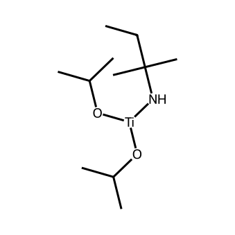 CCC(C)(C)[NH][Ti]([O]C(C)C)[O]C(C)C